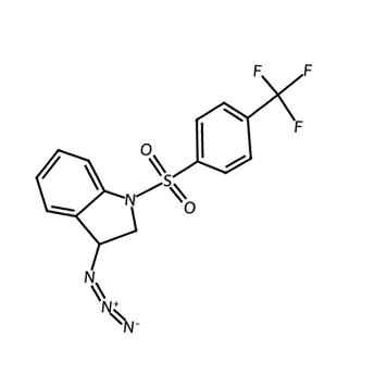 [N-]=[N+]=NC1CN(S(=O)(=O)c2ccc(C(F)(F)F)cc2)c2ccccc21